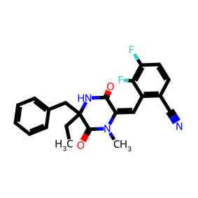 CCC1(Cc2ccccc2)NC(=O)C(=Cc2c(C#N)ccc(F)c2F)N(C)C1=O